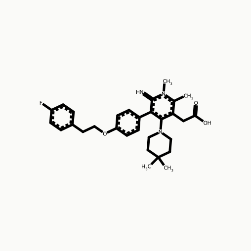 Cc1c(CC(=O)O)c(N2CCC(C)(C)CC2)c(-c2ccc(OCCc3ccc(F)cc3)cc2)c(=N)n1C